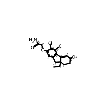 CCC12CCC(=O)C=C1c1c(cc(OCC(N)=O)c(Cl)c1Cl)C2